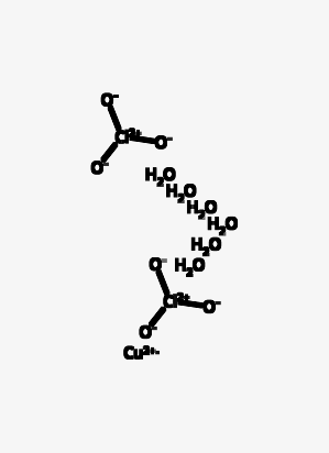 O.O.O.O.O.O.[Cu+2].[O-][Cl+2]([O-])[O-].[O-][Cl+2]([O-])[O-]